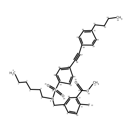 CCCCCCN(Cc1ccc(F)c(C(=O)OC)c1)S(=O)(=O)c1ccc(C#Cc2ccc(CCCC)cc2)cc1